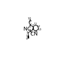 C#CCC(C#N)(C#N)C1=C(C=C=C)CCCC1